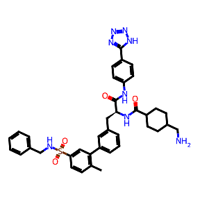 Cc1ccc(S(=O)(=O)NCc2ccccc2)cc1-c1cccc(C[C@H](NC(=O)C2CCC(CN)CC2)C(=O)Nc2ccc(-c3nnn[nH]3)cc2)c1